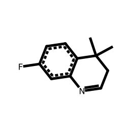 CC1(C)CC=Nc2cc(F)ccc21